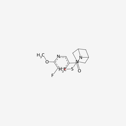 COc1ncc(C(=O)N2C3CC2CN(SC)C3)cc1F